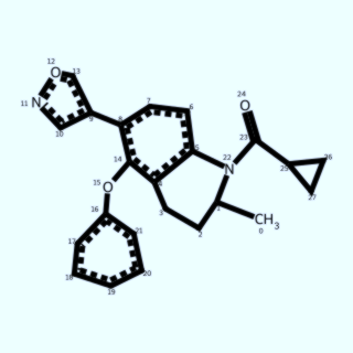 CC1CCc2c(ccc(-c3cnoc3)c2Oc2ccccc2)N1C(=O)C1CC1